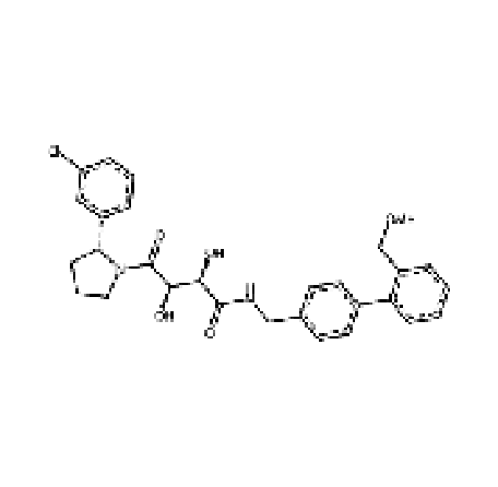 COCc1ccccc1-c1ccc(CNC(=O)[C@H](O)[C@@H](O)C(=O)N2CCC[C@@H]2c2cccc(Cl)c2)cc1